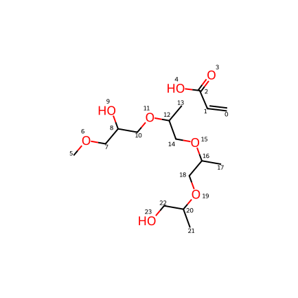 C=CC(=O)O.COCC(O)COC(C)COC(C)COC(C)CO